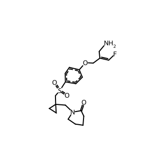 NC/C(=C\F)COc1ccc(S(=O)(=O)CC2(CN3CCCCC3=O)CC2)cc1